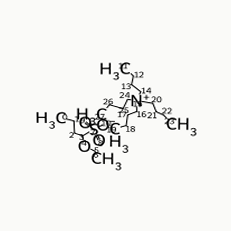 CCCC(OCC)S(=O)(=O)[O-].CCCC[N+](CCCC)(CCCC)CCCC